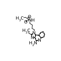 CCc1nc2c(N)nc3ccccc3c2n1CCCCNS(=O)(=O)CC